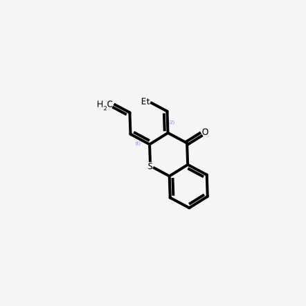 C=C/C=c1/sc2ccccc2c(=O)/c1=C/CC